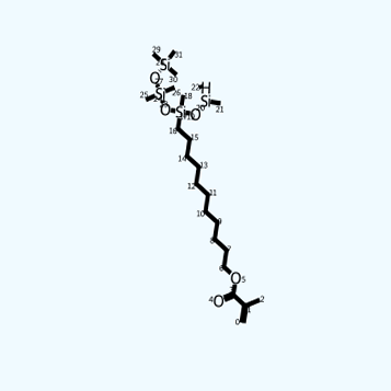 C=C(C)C(=O)OCCCCCCCCCCC[Si](C)(O[SiH](C)C)O[Si](C)(C)O[Si](C)(C)C